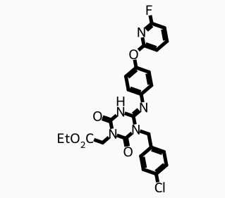 CCOC(=O)Cn1c(=O)[nH]/c(=N\c2ccc(Oc3cccc(F)n3)cc2)n(Cc2ccc(Cl)cc2)c1=O